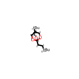 CC(C)(C)CCC12OCC(C(C)(C)C)(CO1)CO2